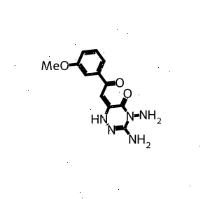 COc1cccc(C(=O)C=C2NN=C(N)N(N)C2=O)c1